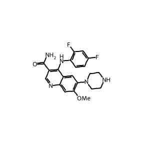 COc1cc2ncc(C(N)=O)c(Nc3ccc(F)cc3F)c2cc1N1CCNCC1